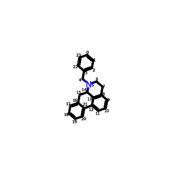 c1ccc(CN2CCc3cccc4c3C2Cc2ccccc2-4)cc1